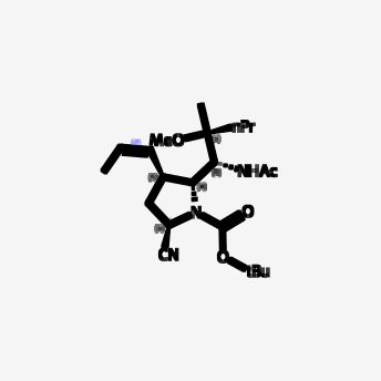 C/C=C\[C@@H]1C[C@H](C#N)N(C(=O)OC(C)(C)C)[C@H]1[C@@H](NC(C)=O)[C@](C)(CCC)OC